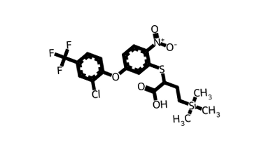 C[Si](C)(C)CCC(Sc1cc(Oc2ccc(C(F)(F)F)cc2Cl)ccc1[N+](=O)[O-])C(=O)O